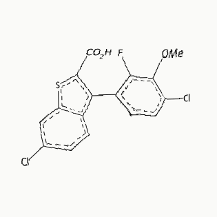 COc1c(Cl)ccc(-c2c(C(=O)O)sc3cc(Cl)ccc23)c1F